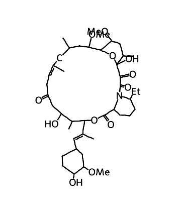 CCC1CCCC2C(=O)OC(C(C)=CC3CCC(O)C(OC)C3)C(C)C(O)CC(=O)C/C=C(\C)CC(C)CC(OC)C3OC(O)(C(=O)C(=O)N12)C(C)CC3OC